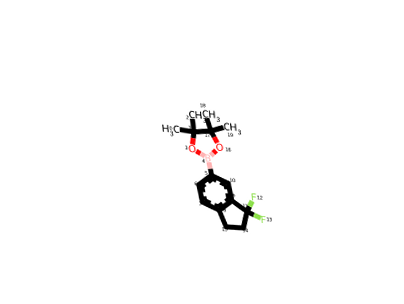 CC1(C)OB(c2ccc3c(c2)C(F)(F)CC3)OC1(C)C